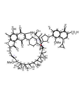 COc1c(N2CCC(C3(N4CCN(C5=C6NC(=O)/C(C)=C\C=C\[C@H](C)[C@H](O)[C@@H](C)[C@@H](O)[C@@H](C)[C@H](OC(C)=O)[C@H](C)[C@@H](OC)/C=C/O[C@@]7(C)Oc8c(C)c(O)c(c(c8C7=O)C5=O)C6=O)CC4)CC3)C2)c(F)cc2c(=O)c(C(=O)O)cn(C3CC3)c12